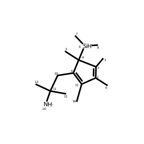 CC1=C(C)C(C)([SiH](C)C)C(CC(C)(C)[NH])=C1C